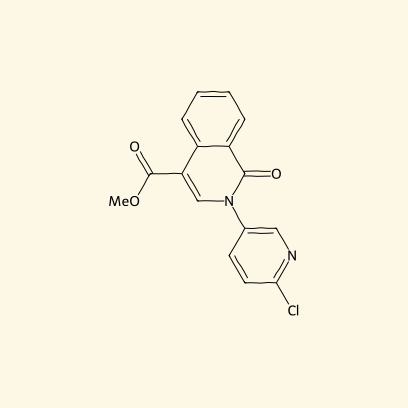 COC(=O)c1cn(-c2ccc(Cl)nc2)c(=O)c2ccccc12